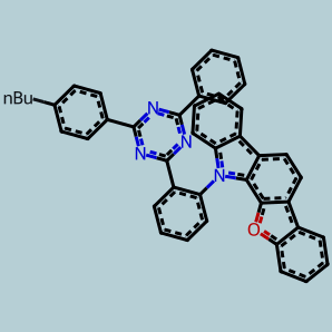 CCCCc1ccc(-c2nc(-c3ccccc3)nc(-c3ccccc3-n3c4ccccc4c4ccc5c6ccccc6oc5c43)n2)cc1